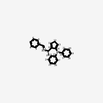 C[C@@H](/N=C/c1ccccc1)C1=CCC=C1P(c1ccccc1)c1ccccc1